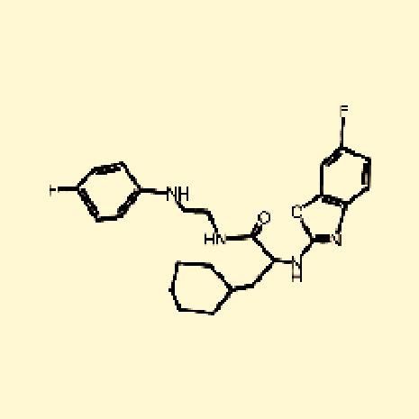 O=C(NCCNc1ccc(F)cc1)C(CC1CCCCC1)Nc1nc2ccc(F)cc2o1